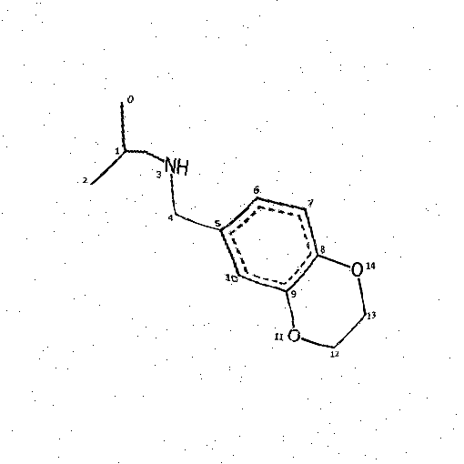 CC(C)NCc1ccc2c(c1)OCCO2